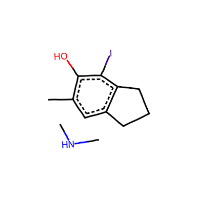 CNC.Cc1cc2c(c(I)c1O)CCC2